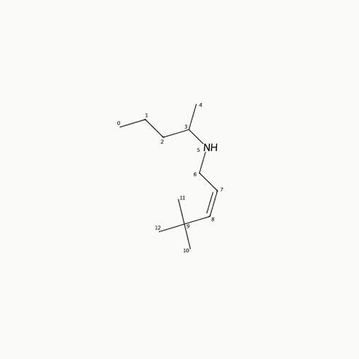 CCCC(C)NC/C=C\C(C)(C)C